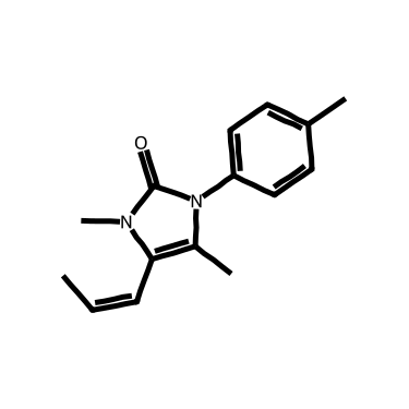 C/C=C\c1c(C)n(-c2ccc(C)cc2)c(=O)n1C